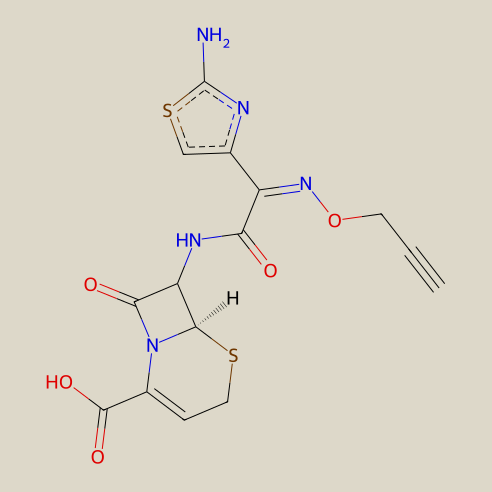 C#CCO/N=C(\C(=O)NC1C(=O)N2C(C(=O)O)=CCS[C@H]12)c1csc(N)n1